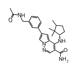 CC(=O)NCc1cccc(-c2cc3c(N[C@@H]4CCC(C)C4(C)C)c(C(N)=O)cnn3c2)c1